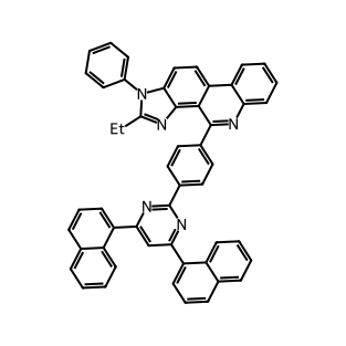 CCc1nc2c3c(-c4ccc(-c5nc(-c6cccc7ccccc67)cc(-c6cccc7ccccc67)n5)cc4)nc4ccccc4c3ccc2n1-c1ccccc1